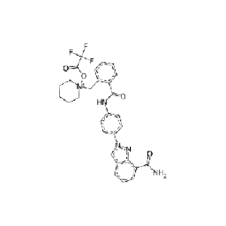 NC(=O)c1cccc2cn(-c3ccc(NC(=O)c4ccccc4C[N+]4(OC(=O)C(F)(F)F)CCCCC4)cc3)nc12